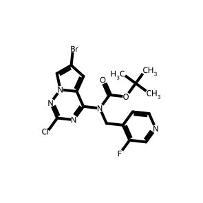 CC(C)(C)OC(=O)N(Cc1ccncc1F)c1nc(Cl)nn2cc(Br)cc12